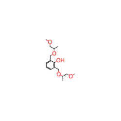 COCC(C)OCc1cccc(COC(C)COC)c1O